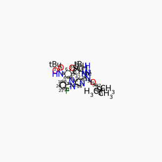 CC(C)(C)OC(=O)NC1CC(O[Si](C)(C)C(C)(C)C)CC(n2c(-c3ccccc3F)nc3cnc(C4=NNCN4COCC[Si](C)(C)C)cc32)C1